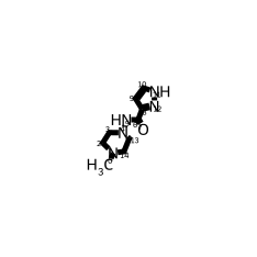 CN1CCN(NC(=O)c2cc[nH]n2)CC1